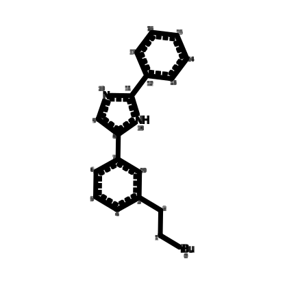 CCC(C)CCc1cccc(-c2cnc(-c3ccccc3)[nH]2)c1